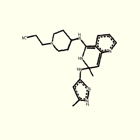 Cc1cc(NC2(C)C=c3ncccc3=C(NC3CCN(CCC#N)CC3)N2)n[nH]1